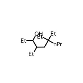 CCCC(CC)(CC)CC(CC)C(O)CC